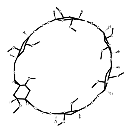 COC1C[C@H]2CSC[C@H]3C[C@@H](OC)[C@@H](CSC[C@H]4CC(OC)[C@@H](CSC[C@@H]5CC(OC)[C@@H](CC5OC)S[C@@H]5CC(OC)[C@H](CSC[C@H]6CC(OC)[C@@H](CSC[C@@H]1CC2OC)CC6OC)CC5OC)CC4OC)CC3OC